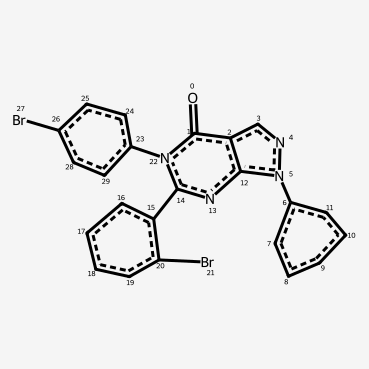 O=c1c2cnn(-c3ccccc3)c2nc(-c2ccccc2Br)n1-c1ccc(Br)cc1